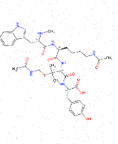 CN[C@@H](Cc1c[nH]c2ccccc12)C(=O)N[C@@H](CCCCNC(C)=O)C(=O)N[C@H](C(=O)N[C@@H](Cc1ccc(O)cc1)C(=O)O)C(C)(C)SCNC(C)=O